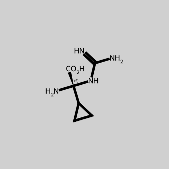 N=C(N)N[C@](N)(C(=O)O)C1CC1